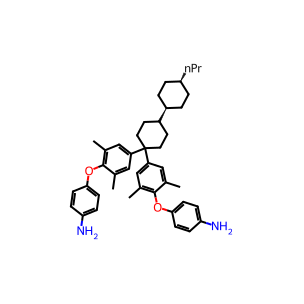 CCC[C@H]1CC[C@@H](C2CCC(c3cc(C)c(Oc4ccc(N)cc4)c(C)c3)(c3cc(C)c(Oc4ccc(N)cc4)c(C)c3)CC2)CC1